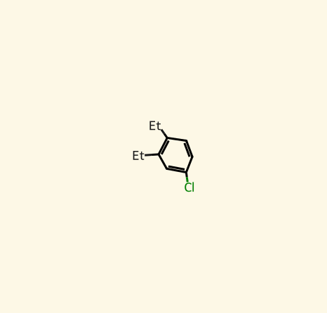 CCc1ccc(Cl)cc1CC